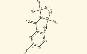 [2H]C([2H])([2H])N(C(=O)c1cccc(I)c1)C([2H])([2H])[2H]